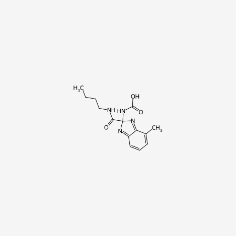 CCCCNC(=O)C1(NC(=O)O)N=c2cccc(C)c2=N1